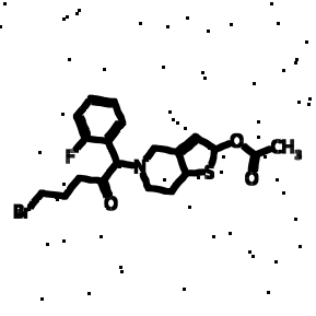 CC(=O)OC1C=C2CN(C(C(=O)CCCBr)c3ccccc3F)CCC2S1